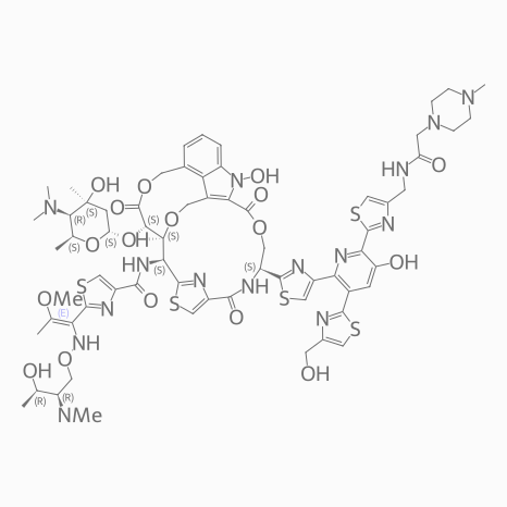 CN[C@H](CON/C(=C(\C)OC)c1nc(C(=O)N[C@@H]2c3nc(cs3)C(=O)N[C@H](c3nc(-c4nc(-c5nc(CNC(=O)CN6CCN(C)CC6)cs5)c(O)cc4-c4nc(CO)cs4)cs3)COC(=O)c3c4c5c(cccc5n3O)COC(=O)[C@@H](O[C@H]3C[C@](C)(O)[C@H](N(C)C)[C@H](C)O3)[C@H]2OC4)cs1)[C@@H](C)O